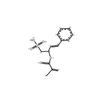 C=C(C)C(=O)OC(C=Cc1ccccc1)CS(=O)(=O)O